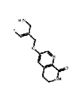 NCC(=CF)COc1cnc2c(c1)CCNC2=O